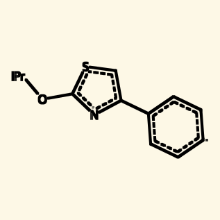 CC(C)Oc1nc(-c2cc[c]cc2)cs1